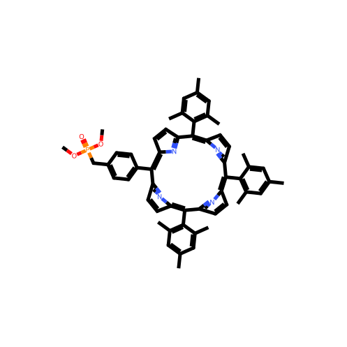 COP(=O)(Cc1ccc(C2=C3C=CC(=N3)C(c3c(C)cc(C)cc3C)=C3C=CC(=N3)C(c3c(C)cc(C)cc3C)=C3C=CC(=N3)C(c3c(C)cc(C)cc3C)=C3C=CC2=N3)cc1)OC